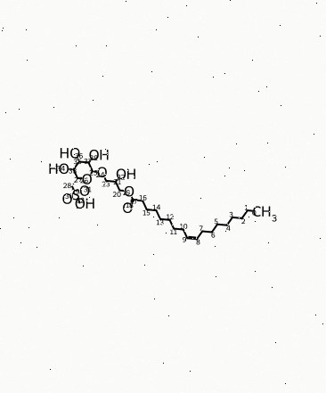 CCCCCCCC/C=C\CCCCCCCC(=O)OCC(O)CO[C@H]1O[C@H](CS(=O)(=O)O)[C@@H](O)[C@H](O)[C@H]1O